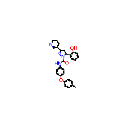 Cc1ccc(Oc2ccc(NC(=O)N3N=C(c4cccnc4)CC3c3ccccc3O)cc2)cc1